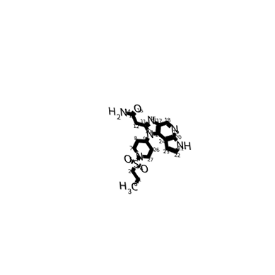 CCCS(=O)(=O)N1CCC(n2c(CC(N)=O)nc3cnc4[nH]ccc4c32)CC1